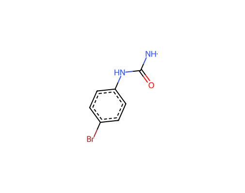 [NH]C(=O)Nc1ccc(Br)cc1